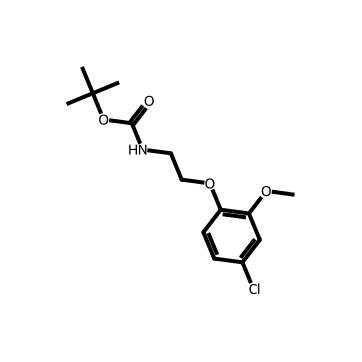 COc1cc(Cl)ccc1OCCNC(=O)OC(C)(C)C